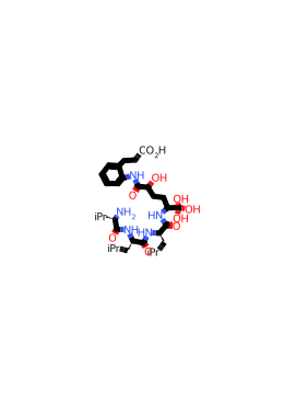 CC(C)C[C@H](NC(=O)[C@H](CC(C)C)NC(=O)[C@@H](N)C(C)C)C(=O)NC(CCC(O)C(=O)Nc1ccccc1CCC(=O)O)C(O)(O)O